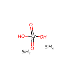 [O]=[Cr](=[O])([OH])[OH].[SiH4].[SiH4]